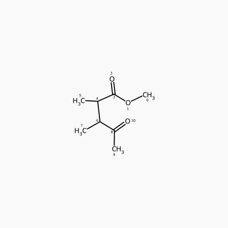 COC(=O)C(C)C(C)C(C)=O